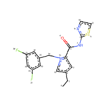 CCc1cc(C(=O)Nc2nccs2)n(Cc2cc(F)cc(F)c2)c1